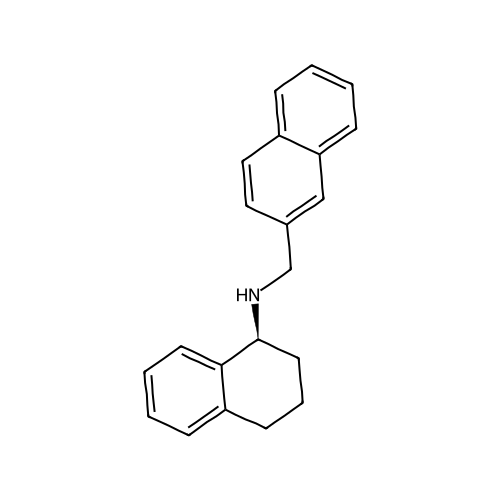 c1ccc2c(c1)CCC[C@@H]2NCc1ccc2ccccc2c1